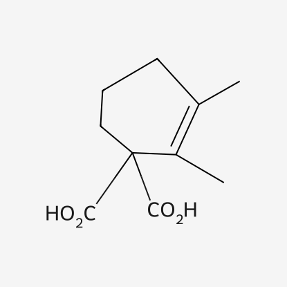 CC1=C(C)C(C(=O)O)(C(=O)O)CCC1